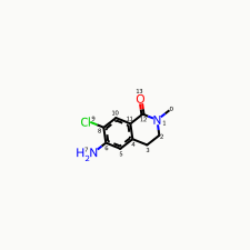 CN1CCc2cc(N)c(Cl)cc2C1=O